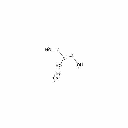 OCC(O)CO.[Co].[Fe]